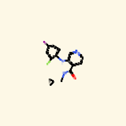 O=C(NCC1CC1)c1ccncc1Nc1ccc(I)cc1F